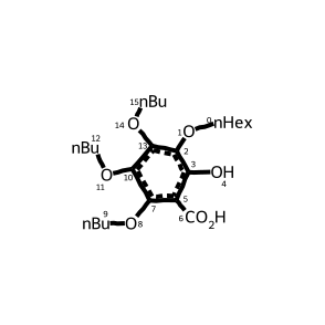 CCCCCCOc1c(O)c(C(=O)O)c(OCCCC)c(OCCCC)c1OCCCC